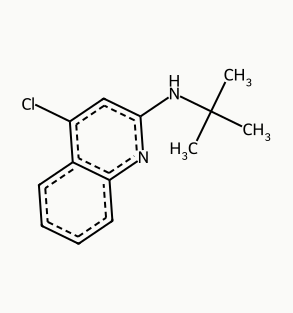 CC(C)(C)Nc1cc(Cl)c2ccccc2n1